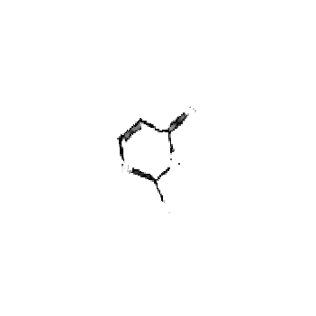 OC1=[N+]C=CC(=S)N1